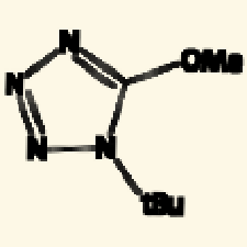 COc1nnnn1C(C)(C)C